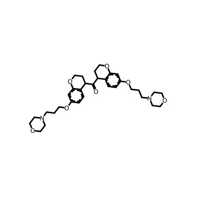 O=C(C1CCOc2cc(OCCCN3CCOCC3)ccc21)C1CCOc2cc(OCCCN3CCOCC3)ccc21